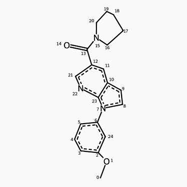 COc1cccc(-n2ccc3cc(C(=O)N4CCCCC4)cnc32)c1